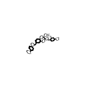 CC(Oc1ccc(COc2ccc(Cl)cc2)cc1)C(=O)OCc1ccc(Cl)cc1